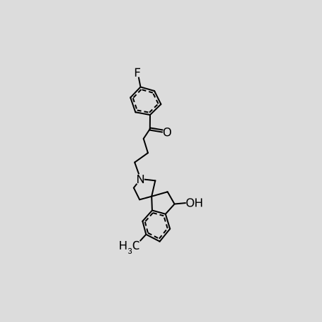 Cc1ccc2c(c1)C1(CCN(CCCC(=O)c3ccc(F)cc3)C1)CC2O